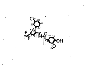 COc1cc(NC(=O)NCc2cc(C(F)(F)F)nn2-c2cccc(Cl)c2)ccc1O